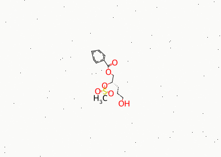 CS(=O)(=O)O[C@@H](CCCO)COC(=O)c1ccccc1